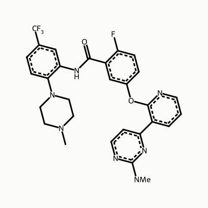 CNc1nccc(-c2cccnc2Oc2ccc(F)c(C(=O)Nc3cc(C(F)(F)F)ccc3N3CCN(C)CC3)c2)n1